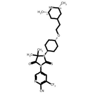 C[C@@H]1CC(CCO[C@H]2CC[C@H](N3C(=S)N(c4cnc(C#N)c(C(F)(F)F)c4)C(=O)C3(C)C)CC2)C[C@H](C)N1